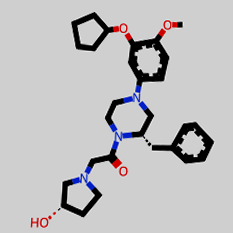 COc1ccc(N2CCN(C(=O)CN3CC[C@H](O)C3)[C@@H](Cc3ccccc3)C2)cc1OC1CCCC1